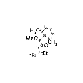 CCCCC(CC)CC(=O)C(OC)C1C(C)CCCC1C